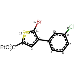 CCOC(=O)c1cc(-c2cccc(Cl)c2)c(Br)s1